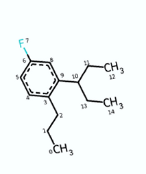 CCCc1ccc(F)cc1C(CC)CC